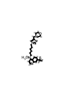 CN(CCCCCCn1cc(CN2CCOCC2)nn1)c1ccnc2cc(C(F)(F)F)ccc12